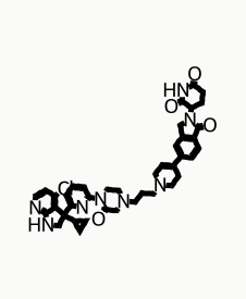 O=C1CCC(N2Cc3cc(C4=CCN(CCCN5CCN(c6cccc(C7(C8CC8)CNc8nccc(Cl)c87)n6)C(=O)C5)CC4)ccc3C2=O)C(=O)N1